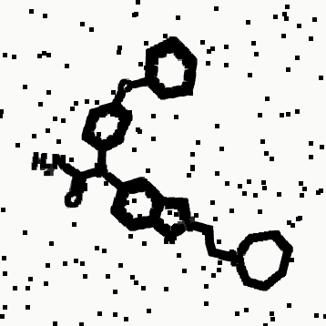 NC(=O)N(c1ccc(Oc2ccccc2)cc1)c1ccc2nn(CCN3CCCCCC3)cc2c1